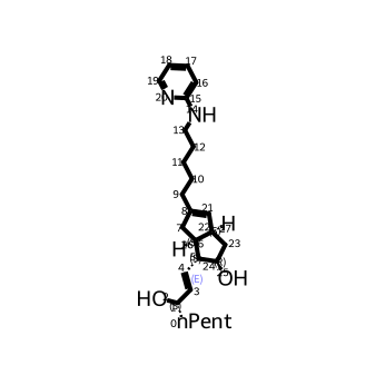 CCCCC[C@H](O)/C=C/[C@@H]1[C@H]2CC(CCCCCNc3ccccn3)=C[C@H]2C[C@H]1O